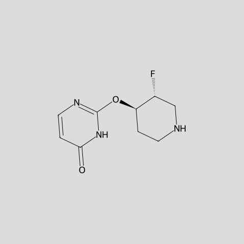 O=c1ccnc(O[C@@H]2CCNC[C@H]2F)[nH]1